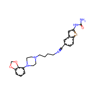 NC(=O)Nc1cc2cc(C#[N+]CCCCN3CCN(c4cccc5c4OCO5)CC3)ccc2s1